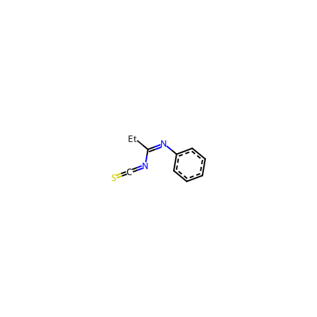 CC/C(N=C=S)=N/c1ccccc1